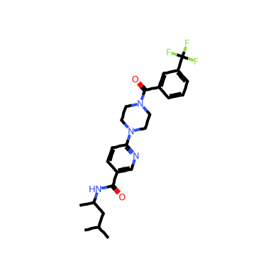 CC(C)CC(C)NC(=O)c1ccc(N2CCN(C(=O)c3cccc(C(F)(F)F)c3)CC2)nc1